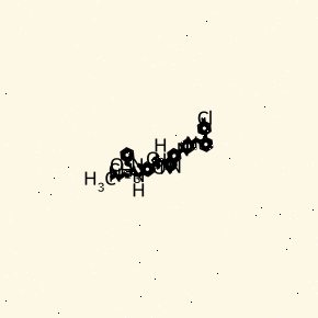 CN(C)CCC[C@H](CSc1ccccc1)Nc1ccc(S(=O)(=O)Nc2ncnc3cc(N4CCN(Cc5ccccc5-c5ccc(Cl)cc5)CC4)ccc23)cc1[N+](=O)[O-]